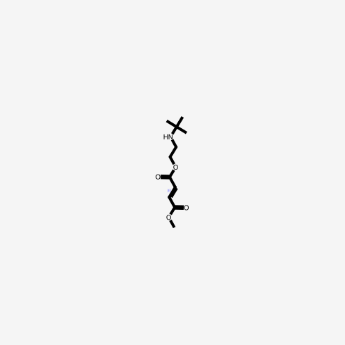 COC(=O)/C=C/C(=O)OCCNC(C)(C)C